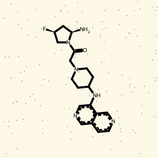 N[C@@H]1C[C@H](F)CN1C(=O)CN1CCC(Nc2cncc3ccncc23)CC1